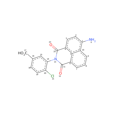 Nc1ccc2c3c(cccc13)C(=O)N(c1cc(C(=O)O)ccc1Cl)C2=O